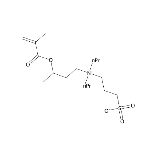 C=C(C)C(=O)OC(C)CC[N+](CCC)(CCC)CCCS(=O)(=O)[O-]